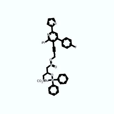 CC(C)c1nc(-c2cccs2)cc(-c2ccc(F)cc2)c1C#CCO[PH](=O)CC(CC(=O)O)O[Si](c1ccccc1)(c1ccccc1)C(C)(C)C